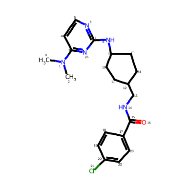 CN(C)c1ccnc(NC2CCC(CNC(=O)c3ccc(Cl)cc3)CC2)n1